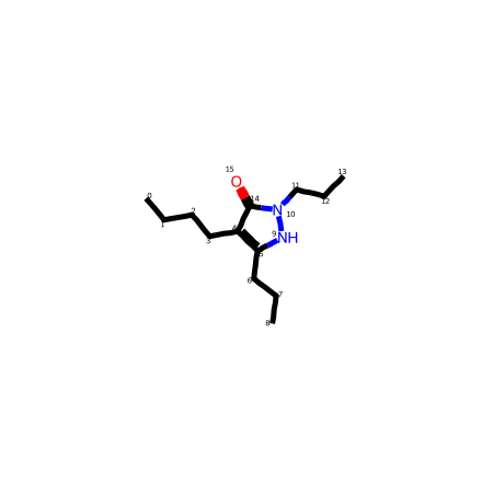 CCCCc1c(CCC)[nH]n(CCC)c1=O